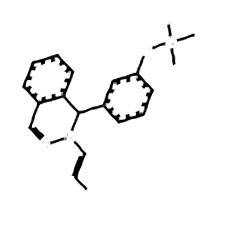 CC(C)(C)[Si](C)(C)Oc1cccc(C2c3ccccc3C=NN2C=CC=O)c1